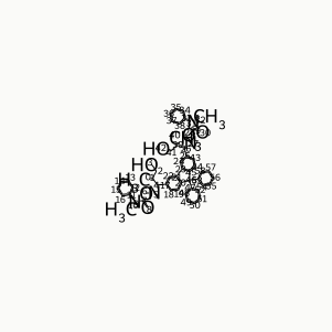 CC(CO)/C(=N\OC(=O)N(C)c1ccccc1)c1ccc2c(c1)-c1cc(/C(=N/OC(=O)N(C)c3ccccc3)C(C)CO)ccc1C2(c1ccccc1)c1ccccc1